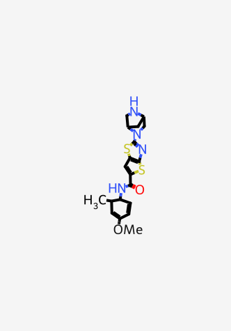 COC1=CC(C)C(NC(=O)c2cc3sc(N4CC5CC4CN5)nc3s2)C=C1